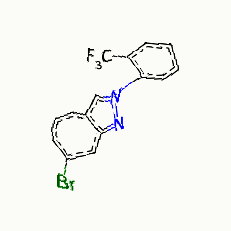 FC(F)(F)c1ccccc1-n1cc2ccc(Br)cc2n1